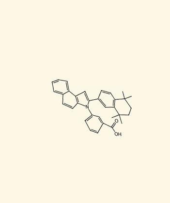 CC1(C)CCC(C)(C)c2cc(-c3cc4c5ccccc5ccc4n3-c3cccc(C(=O)O)c3)ccc21